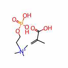 C=C(C)C(=O)O.C[N+](C)(C)CCOP(=O)(O)O